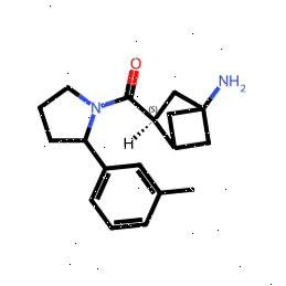 Cc1cccc(C2CCCN2C(=O)[C@H]2CC3(N)CC2C3)c1